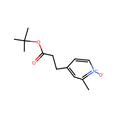 Cc1cc(CCC(=O)OC(C)(C)C)cc[n+]1[O-]